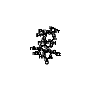 CCC[CH2][Sn]([CH2]CCC)([CH2]CCC)[C](F)=C1[C@@H](c2c[nH]c(=O)nc2OCC)O[C@@H]2CO[Si](C(C)C)(C(C)C)O[Si](C(C)C)(C(C)C)O[C@@H]12